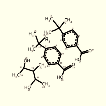 CC(C)(C)c1ccc(C(=O)O)cc1.CC(C)(C)c1ccc(C(=O)O)cc1.CC(O)C(C)C(C)O